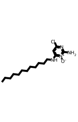 CCCCCCCCCCCCNc1cc(Cl)nc(N)[n+]1[O-]